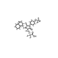 O=C(O)C(F)(F)F.O=C1N(c2ccc(OC(F)(F)F)cc2)C(=O)C2(CC2)N1Cc1ccnc2ccccc12